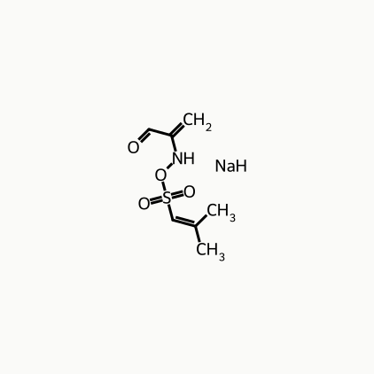 C=C(C=O)NOS(=O)(=O)C=C(C)C.[NaH]